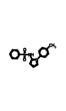 Cc1ccc(-n2cccc2NS(=O)(=O)c2ccccc2)cc1